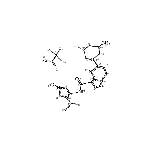 Cn1cc(NC(=O)c2cnn3ccc(N4C[C@H](N)C[C@@H](F)C4)nc23)c(C(F)F)n1.O=C(O)C(F)(F)F